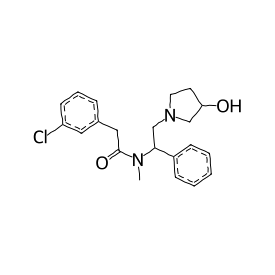 CN(C(=O)Cc1cccc(Cl)c1)C(CN1CCC(O)C1)c1ccccc1